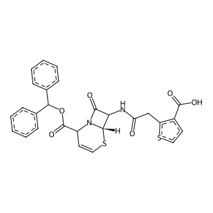 O=C(Cc1sccc1C(=O)O)NC1C(=O)N2C(C(=O)OC(c3ccccc3)c3ccccc3)C=CS[C@@H]12